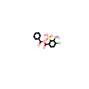 Cc1c(Cl)ccc(C(=O)OC(=O)c2ccccc2)c1S(=O)(=O)O